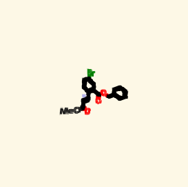 COC(=O)/C=C/c1ccc(Br)cc1C(=O)OCc1ccccc1